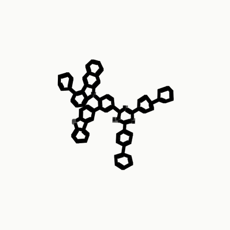 c1ccc(-c2ccc(C3=NC(c4ccc(-n5c6cc7ccccc7cc6c6c(-c7ccccc7)cccc65)c(-c5ccc6oc7ccccc7c6c5)c4)NC(c4ccc(-c5ccccc5)cc4)=N3)cc2)cc1